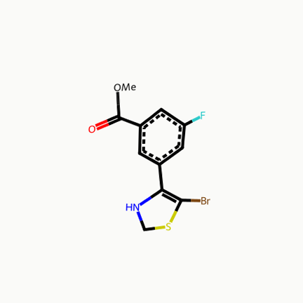 COC(=O)c1cc(F)cc(C2=C(Br)SCN2)c1